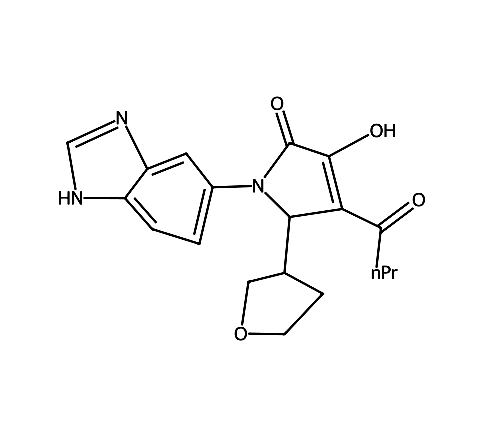 CCCC(=O)C1=C(O)C(=O)N(c2ccc3[nH]cnc3c2)C1C1CCOC1